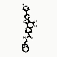 Cn1cc(-c2cn3nc4c5ncc(C(=O)NCCN6C7CCC6COC7)cc5[nH]c(=O)c4c3s2)cn1